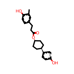 Cc1cc(CCC(=O)O[C@H]2CC[C@H](c3ccc(O)cc3)CC2)ccc1O